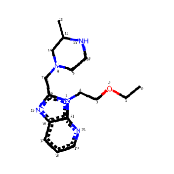 CCOCCn1c(CN2CCNC(C)C2)nc2cccnc21